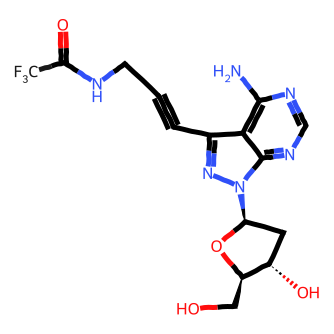 Nc1ncnc2c1c(C#CCNC(=O)C(F)(F)F)nn2[C@H]1C[C@H](O)[C@@H](CO)O1